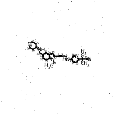 CCn1c(C#CCNc2ccc(C(C)(C)C#N)nc2)cc2cc(CNC3CCOCC3)ccc21